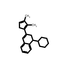 CC1=CCC(C2=Cc3ccccc3C(C3CCCCC3)C2)=C1C